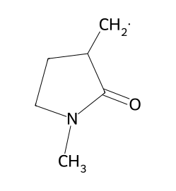 [CH2]C1CCN(C)C1=O